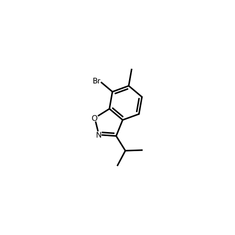 Cc1ccc2c(C(C)C)noc2c1Br